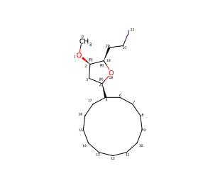 CO[C@@H]1C[C@H](C2CCCCCCCCCCCC2)O[C@@H]1CCI